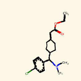 CCOC(=O)C=C1CCC(C(c2ccc(Cl)cc2)N(C)C)CC1